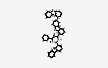 c1ccc(C2NC(c3cccc4c3oc3ccccc34)NC(c3cccc4c3oc3ccc(-c5cccc6oc7ccccc7c56)cc34)N2)cc1